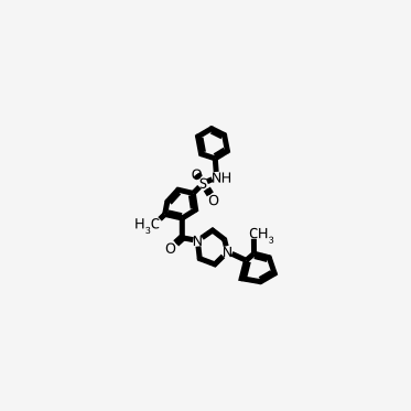 Cc1ccc(S(=O)(=O)Nc2ccccc2)cc1C(=O)N1CCN(c2ccccc2C)CC1